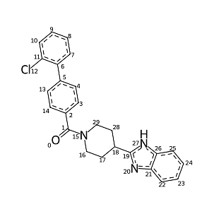 O=C(c1ccc(-c2ccccc2Cl)cc1)N1CCC(c2nc3ccccc3[nH]2)CC1